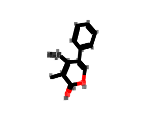 Cc1c(C(=O)O)c(-c2ccccc2)coc1=O